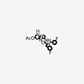 CC(=O)OC1CNc2c(nc3n2CC=C3NC(=O)c2cc3cc(F)ccc3n2Cc2cccc(F)c2)C1